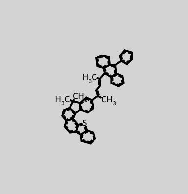 C/C(=C\C=C(/C)c1c2ccccc2c(-c2ccccc2)c2ccccc12)c1ccc2c(c1)C(C)(C)c1ccc3ccc4c5ccccc5sc4c3c1-2